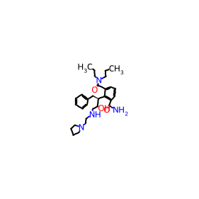 CCCN(CCC)C(=O)c1cccc(C(N)=O)c1[C@H](Cc1ccccc1)[C@@H](O)CNCCN1CCCC1